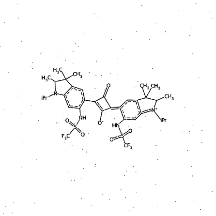 CC(C)N1c2cc(NS(=O)(=O)C(F)(F)F)c(C3=C([O-])/C(=c4/cc5c(cc4NS(=O)(=O)C(F)(F)F)=[N+](C(C)C)C(C)C5(C)C)C3=O)cc2C(C)(C)C1C